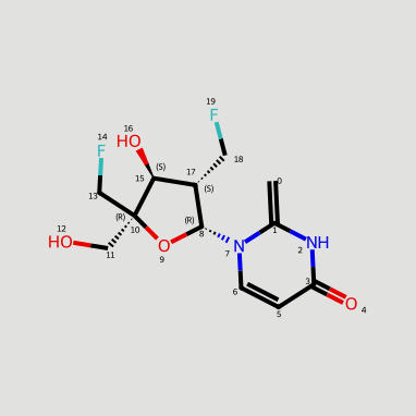 C=C1NC(=O)C=CN1[C@@H]1O[C@@](CO)(CF)[C@@H](O)[C@@H]1CF